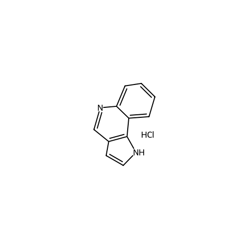 Cl.c1ccc2c(c1)ncc1cc[nH]c12